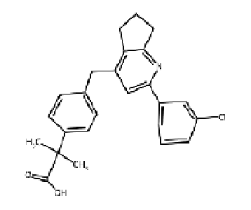 CC(C)(C(=O)O)c1ccc(Cc2cc(-c3cccc(Cl)c3)nc3c2CCC3)cc1